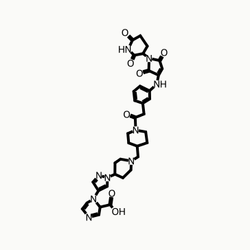 O=C1CCC(N2C(=O)C=C(Nc3cccc(CC(=O)N4CCC(CN5CCC(n6cc(N7C=CN=CC7C(=O)O)cn6)CC5)CC4)c3)C2=O)C(=O)N1